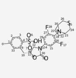 Cc1ccc(S(=O)(=O)O)c(C[C@@H]2CN(c3cc(F)c(N4C5CCC4CSC5)c(F)c3)C(=O)O2)c1